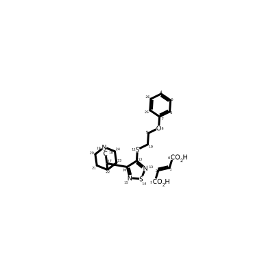 O=C(O)/C=C/C(=O)O.c1ccc(OCCSc2nsnc2C2CN3CCC2CC3)cc1